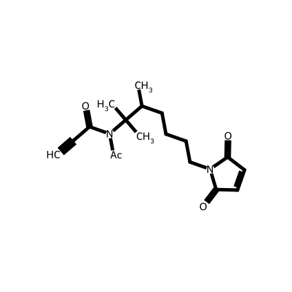 C#CC(=O)N(C(C)=O)C(C)(C)C(C)CCCCN1C(=O)C=CC1=O